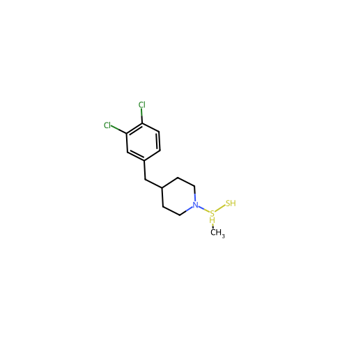 C[SH](S)N1CCC(Cc2ccc(Cl)c(Cl)c2)CC1